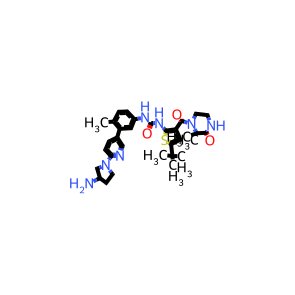 Cc1ccc(NC(=O)Nc2sc(C(C)(C)C)cc2C(=O)N2CCNC(=O)C2(C)C)cc1-c1ccc(N2CCC(N)C2)nc1